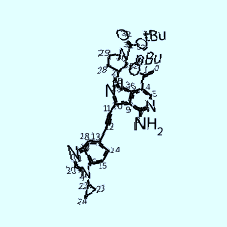 C=C(OCCCC)c1cnc(N)c2c(C#Cc3ccc4c(c3)ncn4C3CC3)nn(C3CCN(C(=O)OC(C)(C)C)C3)c12